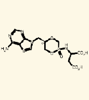 Nc1ncnc2c1ncn2C[C@@H]1COP(=O)(NC(CC(=O)O)C(=O)O)CO1